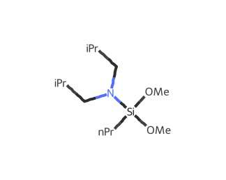 CCC[Si](OC)(OC)N(CC(C)C)CC(C)C